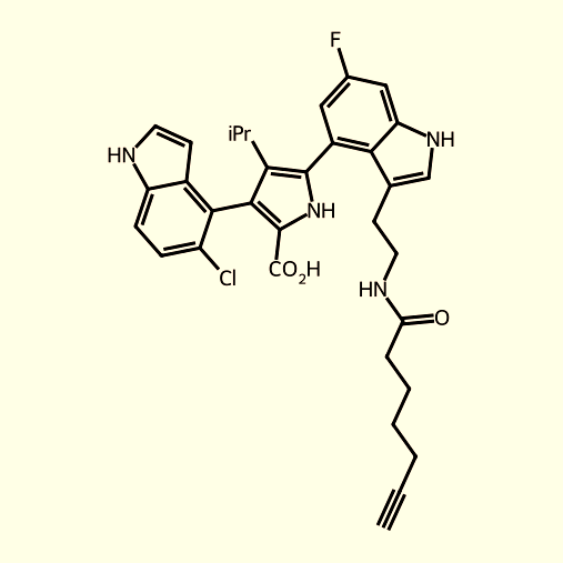 C#CCCCCC(=O)NCCc1c[nH]c2cc(F)cc(-c3[nH]c(C(=O)O)c(-c4c(Cl)ccc5[nH]ccc45)c3C(C)C)c12